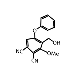 COc1c(C#N)c(C#N)cc(Oc2ccccc2)c1CO